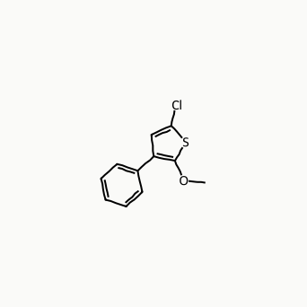 COc1sc(Cl)cc1-c1ccccc1